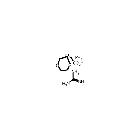 C1COCCO1.CC(=O)O.N=C(N)N.P